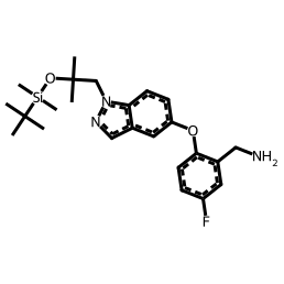 CC(C)(Cn1ncc2cc(Oc3ccc(F)cc3CN)ccc21)O[Si](C)(C)C(C)(C)C